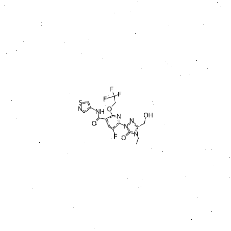 CCn1c(CO)nn(-c2nc(OCC(F)(F)F)c(C(=O)Nc3cnsc3)cc2F)c1=O